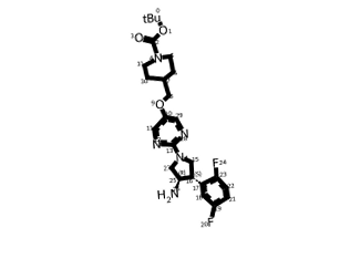 CC(C)(C)OC(=O)N1CCC(COc2cnc(N3C[C@H](c4cc(F)ccc4F)[C@@H](N)C3)nc2)CC1